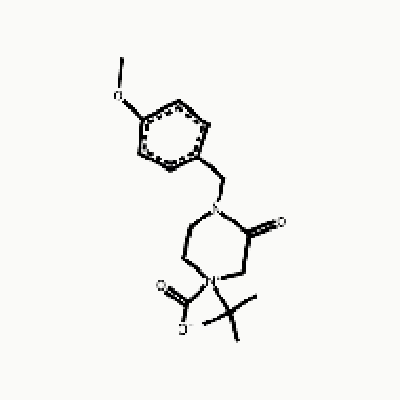 COc1ccc(CN2CC[N+](C(=O)[O-])(C(C)(C)C)CC2=O)cc1